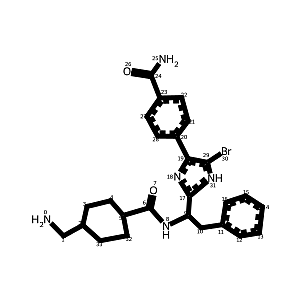 NCC1CCC(C(=O)NC(Cc2ccccc2)c2nc(-c3ccc(C(N)=O)cc3)c(Br)[nH]2)CC1